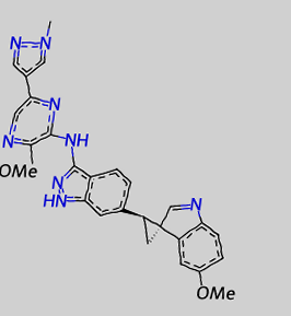 COc1ccc2c(c1)[C@@]1(C=N2)C[C@H]1c1ccc2c(Nc3nc(-c4cnn(C)c4)cnc3OC)n[nH]c2c1